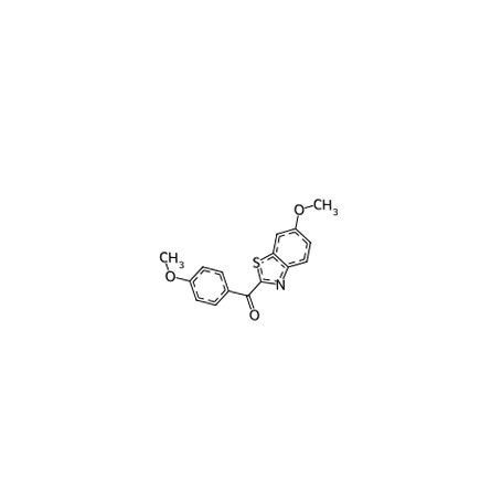 COc1ccc(C(=O)c2nc3ccc(OC)cc3s2)cc1